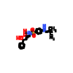 CC(C)CNc1ccc(S(=O)(=O)NC[C@H](O)CC(O)c2ccccc2)cc1